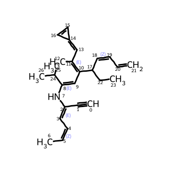 C#C/C(=C\C=C/C)N/C(=C/C(=C(\C)C=C1C=C1)C(/C=C\C=C)CC)C(C)C